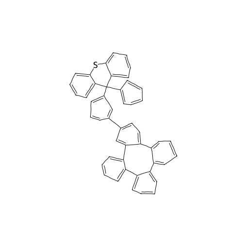 c1ccc(C2(c3cccc(-c4ccc5c(c4)-c4ccccc4-c4ccccc4-c4ccccc4-5)c3)c3ccccc3Sc3ccccc32)cc1